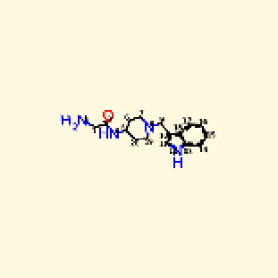 NCC(=O)NC1CCN(Cc2c[nH]c3ccccc23)CC1